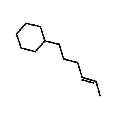 CC=CCCC[C]1CCCCC1